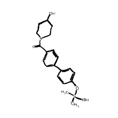 CC(C)(C)[Si](C)(C)Oc1ccc(-c2ccc(C(=O)N3CCC(O)CC3)cc2)cc1